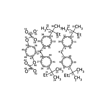 CCC(C)(C)c1ccc([I+]c2ccc(C(C)(C)CC)cc2)cc1.CCC(C)(C)c1ccc([I+]c2ccc(C(C)(C)CC)cc2)cc1.O=S(=O)([O-])Oc1ccc(OS(=O)(=O)[O-])cc1